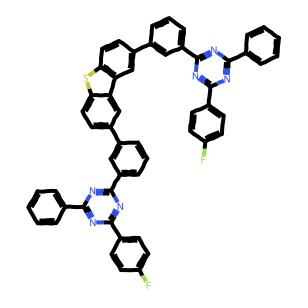 Fc1ccc(-c2nc(-c3ccccc3)nc(-c3cccc(-c4ccc5sc6ccc(-c7cccc(-c8nc(-c9ccccc9)nc(-c9ccc(F)cc9)n8)c7)cc6c5c4)c3)n2)cc1